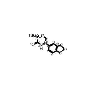 CC(C)(C)OC(=O)NN(CC(=O)O)c1ccc2c(c1)OCO2